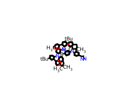 Cc1cc2c3c(c1)N(c1ccc(C(C)(C)C)cc1-c1ccccc1)c1cc4c(cc1B3c1ccc(N3c5ccc(C6=NN=C6)cc5C5(C)CCc6ccccc6C35C)cc1N2c1ccc(C(C)(C)C)cc1-c1ccccc1)CC(C)(C)C4